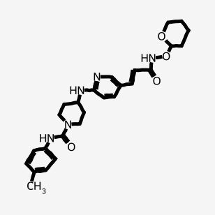 Cc1ccc(NC(=O)N2CCC(Nc3ccc(/C=C/C(=O)NOC4CCCCO4)cn3)CC2)cc1